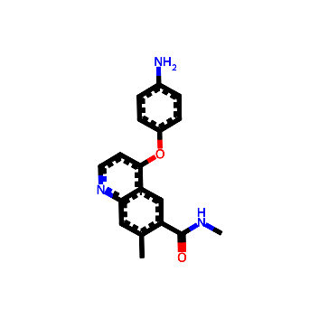 CNC(=O)c1cc2c(Oc3ccc(N)cc3)ccnc2cc1C